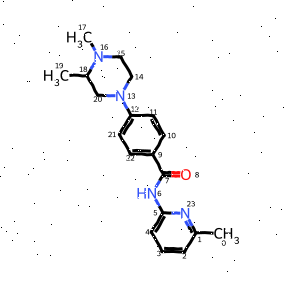 Cc1cccc(NC(=O)c2ccc(N3CCN(C)C(C)C3)cc2)n1